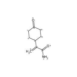 C=C(C(N)=O)C1CCC(=O)CC1